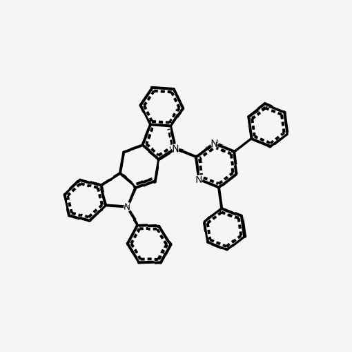 C1=C2C(Cc3c1n(-c1nc(-c4ccccc4)cc(-c4ccccc4)n1)c1ccccc31)c1ccccc1N2c1ccccc1